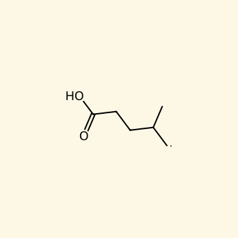 [CH2]C(C)CCC(=O)O